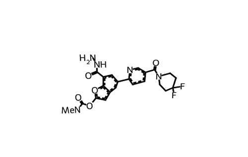 CNC(=O)Oc1cc2cc(-c3ccc(C(=O)N4CCC(F)(F)CC4)cn3)cc(C(=O)NN)c2o1